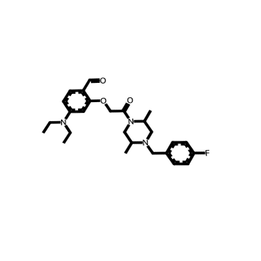 CCN(CC)c1ccc(C=O)c(OCC(=O)N2CC(C)N(Cc3ccc(F)cc3)CC2C)c1